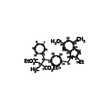 CCOC(=O)C(C)(C(=O)OCC)C(c1ccccc1)c1ccc(Cn2c(CC)nc3c(C)cc(C)nc32)cc1